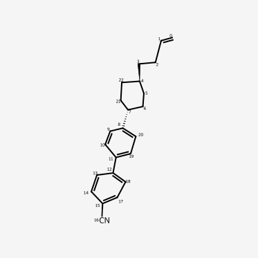 C=CCC[C@H]1CC[C@H](c2ccc(-c3ccc(C#N)cc3)cc2)CC1